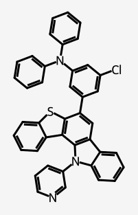 Clc1cc(-c2cc3c4ccccc4n(-c4cccnc4)c3c3c2sc2ccccc23)cc(N(c2ccccc2)c2ccccc2)c1